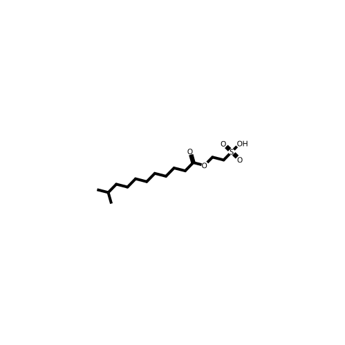 CC(C)CCCCCCCCC(=O)OCCS(=O)(=O)O